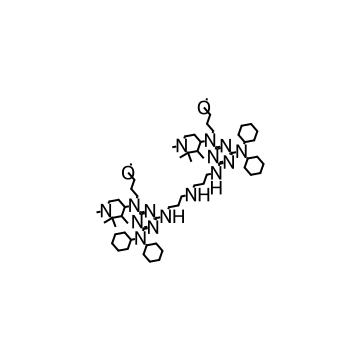 COCCCN(c1nc(NCCCNCCCNc2nc(N(CCCOC)C3CCN(C)C(C)(C)C3C)nc(N(C3CCCCC3)C3CCCCC3)n2)nc(N(C2CCCCC2)C2CCCCC2)n1)C1CCN(C)C(C)(C)C1C